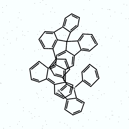 c1ccc(-n2c(-c3ccc(-c4cccc5c4C4(c6ccccc6-c6cc7c8ccccc8c8ccccc8c7cc64)c4ccccc4-5)cc3)nc3ccccc32)cc1